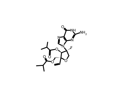 C=C[C@]1(COC(=O)C(C)C)OC[C@](F)(n2cnc3c(=O)[nH]c(N)nc32)[C@@H]1OC(=O)C(C)C